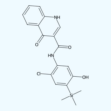 C[Si](C)(C)c1cc(Cl)c(NC(=O)c2c[nH]c3ccccc3c2=O)cc1O